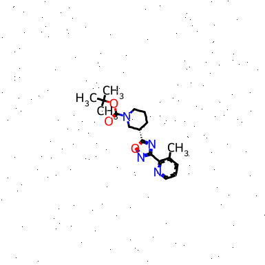 Cc1cccnc1-c1noc([C@H]2CCCN(C(=O)OC(C)(C)C)C2)n1